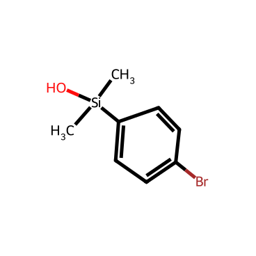 C[Si](C)(O)c1ccc(Br)cc1